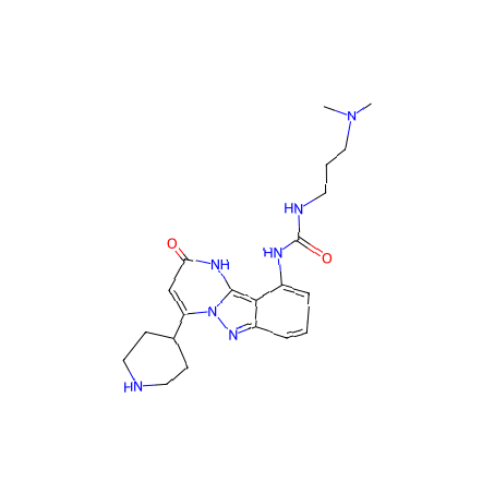 CN(C)CCCNC(=O)Nc1cccc2nn3c(C4CCNCC4)cc(=O)[nH]c3c12